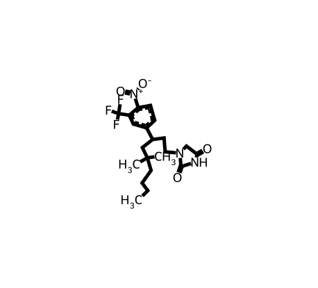 CCCCC(C)(C)CC(CCN1CC(=O)NC1=O)c1ccc([N+](=O)[O-])c(C(F)(F)F)c1